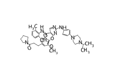 COc1cc(CCC(=O)N2CCCC2)ccc1Oc1nc(Nc2ccc(N3CCN(C(C)C)CC3)cc2)ncc1C(=O)Nc1c(C)cccc1C